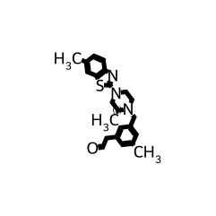 Cc1cc(CC=O)cc(CN2CCN(c3nc4ccc(C)cc4s3)C[C@@H]2C)c1